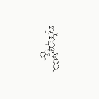 CC(=O)N(NCc1cccc(F)c1Cl)[C@@H](CCCNC(=O)[C@@H](N)CO)COC(=O)Nc1cc2cc(F)ccc2cn1